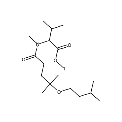 CC(C)CCOC(C)(C)CCC(=O)N(C)C(C(=O)OI)C(C)C